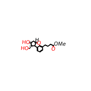 COC(=O)CCCc1cccc2c1O[C@H]1C[C@@H](O)[C@H](CO)C21